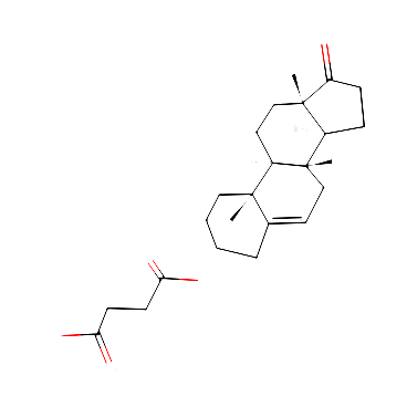 C[C@]12CC[C@@H](OC(=O)CCC(=O)O)CC1=CC[C@@H]1[C@@H]2CC[C@]2(C)C(=O)CC[C@@H]12